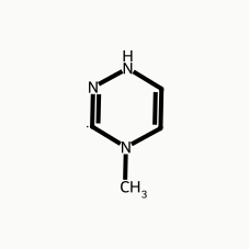 CN1[C]=NNC=C1